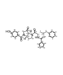 O=C(N[C@@H](CSCc1ccccc1)C(=O)N1CC[C@@H]2[C@H]1C(=O)CN2C(=O)c1ccc(O)cc1)c1ccsc1